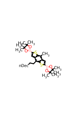 CCCCCCCCCCCCc1c2cc(B3OC(C)(C)C(C)(C)O3)sc2c(C)c2cc(B3OC(C)(C)C(C)(C)O3)sc12